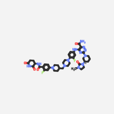 CN1CCN([C@@H]2CCCN(c3nnc(C(N)=O)c(Nc4ccc(N5CCN(CC6CCN(c7ccc(C(=O)NC8CCC(=O)NC8=O)c(F)c7)CC6)CC5)c(F)c4)n3)C2)C1=O